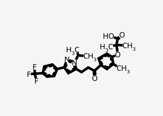 Cc1cc(C(=O)CCc2cc(-c3ccc(C(F)(F)F)cc3)nn2C(C)C)ccc1OC(C)(C)C(=O)O